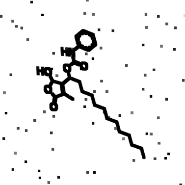 CCCCCCCCCCCCC(OC(=O)Nc1ccccc1)C1=C(C)C(=O)OC1O